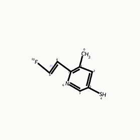 Cc1cc(S)cnc1/C=C/F